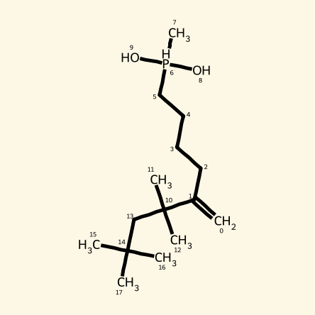 C=C(CCCC[PH](C)(O)O)C(C)(C)CC(C)(C)C